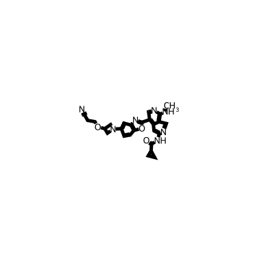 CNc1ncc(-c2nc3cc(N4CC(OCCC#N)C4)ccc3o2)c2cc(NC(=O)C3CC3)ncc12